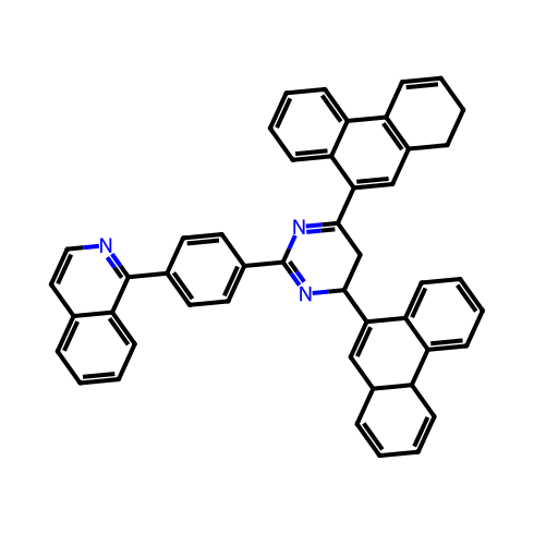 C1=CC2C=C(C3CC(c4cc5c(c6ccccc46)C=CCC5)=NC(c4ccc(-c5nccc6ccccc56)cc4)=N3)c3ccccc3C2C=C1